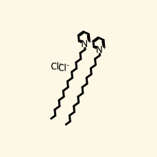 CCCCCCCCCCCCCCCC[n+]1ccccc1.CCCCCCCCCCCCCCCC[n+]1ccccc1.[Cl-].[Cl-]